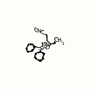 C=CC(CCC=O)O[Si](c1ccccc1)(c1ccccc1)C(C)(C)C